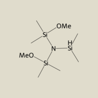 CO[Si](C)(C)N([SiH](C)C)[Si](C)(C)OC